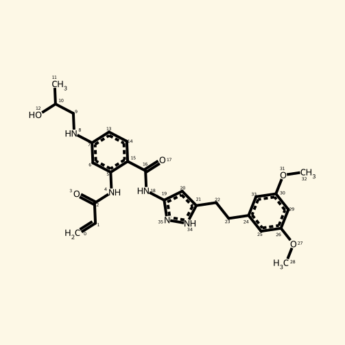 C=CC(=O)Nc1cc(NCC(C)O)ccc1C(=O)Nc1cc(CCc2cc(OC)cc(OC)c2)[nH]n1